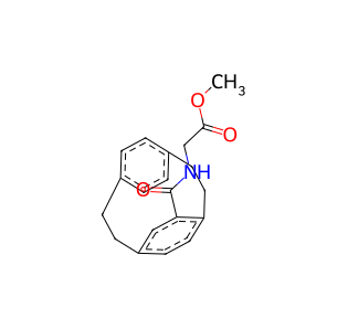 COC(=O)CNC(=O)c1cc2ccc1CCc1ccc(cc1)CC2